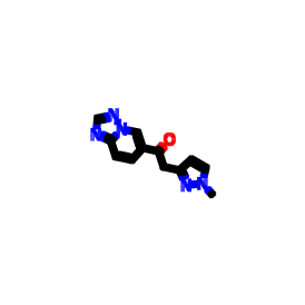 Cn1ccc(CC(=O)c2ccc3ncnn3c2)n1